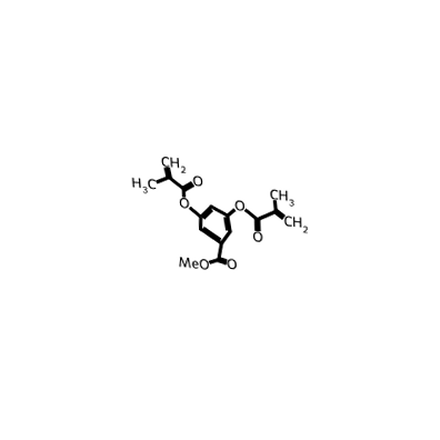 C=C(C)C(=O)Oc1cc(OC(=O)C(=C)C)cc(C(=O)OC)c1